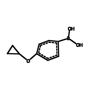 OB(O)c1ccc(OC2CC2)cc1